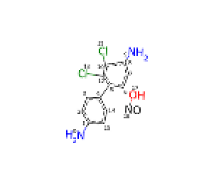 Nc1ccc(-c2ccc(N)c(Cl)c2Cl)cc1.O=NO